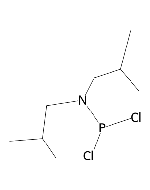 CC(C)CN(CC(C)C)P(Cl)Cl